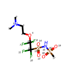 CN(C)CCOC(F)(F)C(F)(F)S(=O)(=O)NS(C)(=O)=O